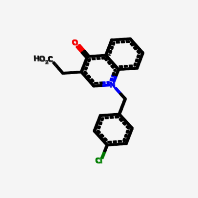 O=C(O)Cc1cn(Cc2ccc(Cl)cc2)c2ccccc2c1=O